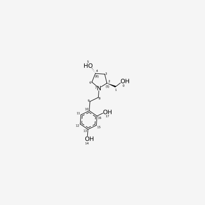 OC[C@@H]1C[C@@H](O)CN1CCc1ccc(O)cc1O